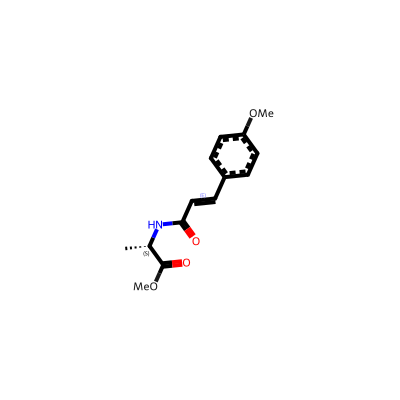 COC(=O)[C@H](C)NC(=O)/C=C/c1ccc(OC)cc1